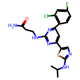 CC(C)Nc1ncc(-c2cc(-c3ccc(F)cc3Cl)nc(NCCC(N)=O)n2)s1